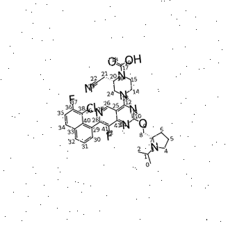 CC(C)N1CCC[C@H]1COc1nc(N2CCN(C(=O)O)[C@@H](CC#N)C2)c2cnc(-c3cccc4ccc(F)c(Cl)c34)c(F)c2n1